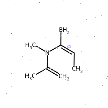 B/C(=C/C)N(C)C(=C)C